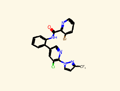 O=C(Nc1ccccc1-c1cnc(-n2ccc(C(F)(F)F)n2)c(Cl)c1)c1ncccc1Br